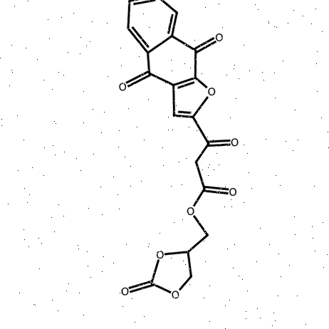 O=C(CC(=O)c1cc2c(o1)C(=O)c1ccccc1C2=O)OCC1COC(=O)O1